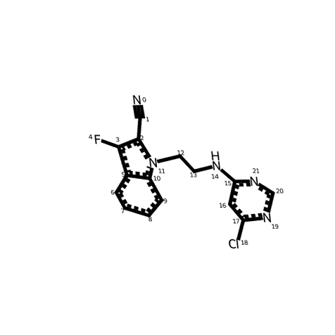 N#Cc1c(F)c2ccccc2n1CCNc1cc(Cl)ncn1